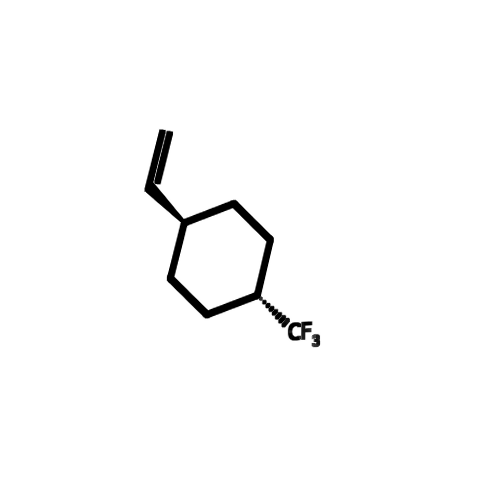 C=C[C@H]1CC[C@H](C(F)(F)F)CC1